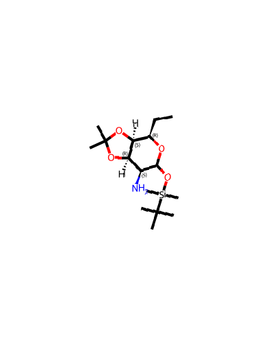 CC[C@H]1OC(O[Si](C)(C)C(C)(C)C)[C@@H](N)[C@H]2OC(C)(C)O[C@H]21